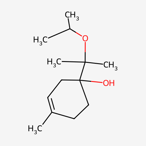 CC1=CCC(O)(C(C)(C)OC(C)C)CC1